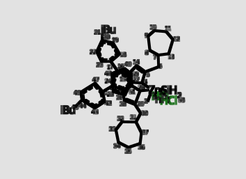 CC[CH2][Zr]([CH3])(=[SiH2])([CH]1C(CC2CCCCCC2)=Cc2c(-c3ccc(C(C)CC)cc3)cccc21)[CH]1C(CC2CCCCCC2)=Cc2c(-c3ccc(C(C)CC)cc3)cccc21.Cl.Cl